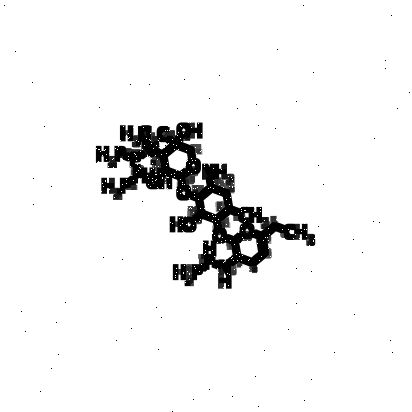 CCC1=CCC(NPP)C(OC2C(C)CC(N)C(OC3OCC(C)(O)C(N(C)P(P)PP)C3O)C2O)O1